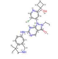 CCn1c(=O)c2cnc(Nc3ccc4c(c3)CNCC4(C)C)nc2n1-c1cc(C2(O)CCC2)ncc1F